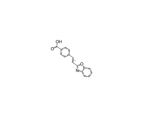 O=C(O)c1ccc(/C=C/c2nc3ccccc3o2)cc1